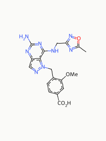 COc1cc(C(=O)O)ccc1Cn1ncc2nc(N)nc(NCc3noc(C)n3)c21